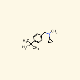 CN(Cc1ccc(C(C)(C)C)cc1)C1CC1